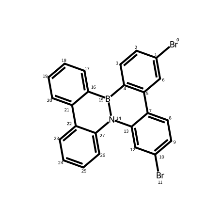 Brc1ccc2c(c1)-c1ccc(Br)cc1N1B2c2ccccc2-c2ccccc21